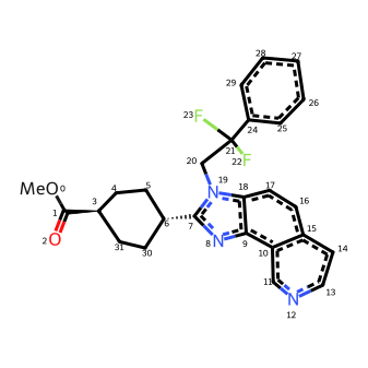 COC(=O)[C@H]1CC[C@H](c2nc3c4cnccc4ccc3n2CC(F)(F)c2ccccc2)CC1